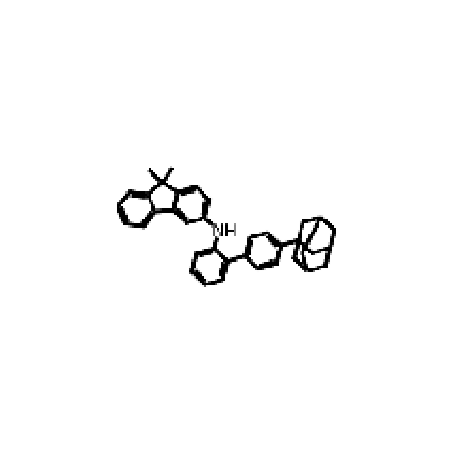 CC1(C)c2ccccc2-c2cc(Nc3ccccc3-c3ccc(C45CC6CC(CC(C6)C4)C5)cc3)ccc21